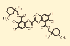 CC1CCCC(C)(COC(=O)c2c(Cl)c(Cl)cc(Cl)c2OC(=O)C(=O)Oc2c(Cl)cc(Cl)c(Cl)c2C(=O)OCC2(C)CCCC(C)C2)C1